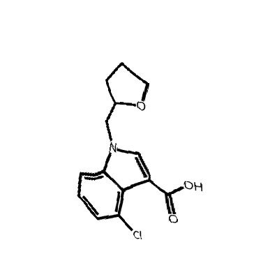 O=C(O)c1cn(CC2CCCO2)c2cccc(Cl)c12